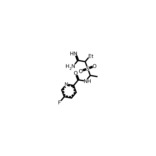 CCC(C(=N)N)S(=O)(=O)C(C)NC(=O)c1ccc(F)cn1